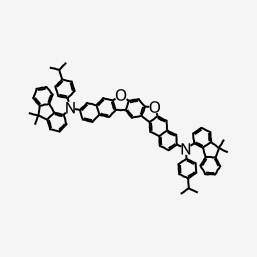 CC(C)c1ccc(N(c2ccc3cc4c(cc3c2)oc2cc3oc5cc6cc(N(c7ccc(C(C)C)cc7)c7cccc8c7-c7ccccc7C8(C)C)ccc6cc5c3cc24)c2cccc3c2-c2ccccc2C3(C)C)cc1